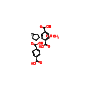 C1C[CH2][Ti][CH2]1.O.O.O=C(O)c1ccc(C(=O)O)cc1.O=C(O)c1ccc(C(=O)O)cc1